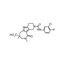 CN1CC(C)(C(=O)O)Cn2nc3c(c2C1=O)CN(C(=O)Nc1ccc(F)c(Cl)c1)CC3